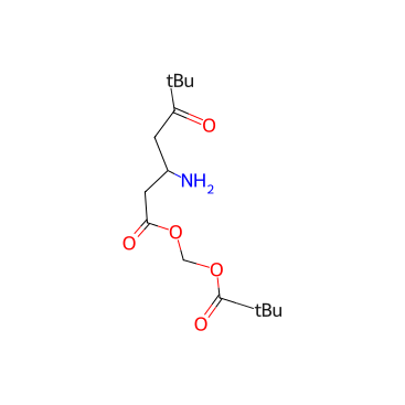 CC(C)(C)C(=O)CC(N)CC(=O)OCOC(=O)C(C)(C)C